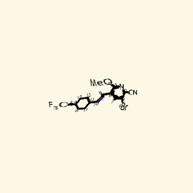 COc1nc(C#N)c(Br)cc1/C=C/C1CCC(C(F)(F)F)CC1